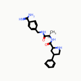 C[C@H](NC(=O)C1CC(c2ccccc2)CCN1)C(=O)NCc1ccc(C(=N)N)cc1